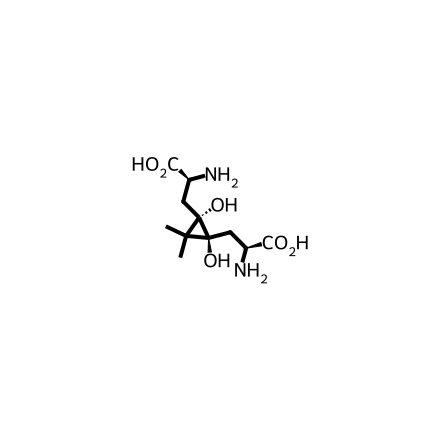 CC1(C)[C@@](O)(C[C@H](N)C(=O)O)[C@]1(O)C[C@H](N)C(=O)O